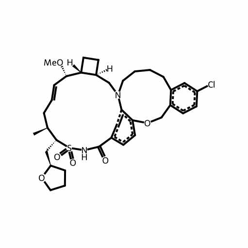 CO[C@H]1/C=C/C[C@H](C)[C@@H](C[C@H]2CCCO2)S(=O)(=O)NC(=O)c2ccc3c(c2)N(CCCCc2cc(Cl)ccc2CO3)C[C@@H]2CC[C@H]21